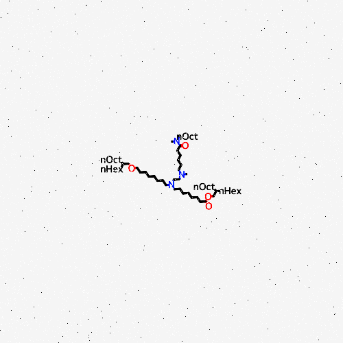 CCCCCCCCC(CCCCCC)COCCCCCCCCN(CCCCCCCC(=O)OCC(CCCCCC)CCCCCCCC)CCN(C)CCCCCC(=O)N(C)CCCCCCCC